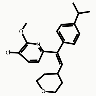 COc1nc(/C(=C\C2CCOCC2)c2ccc(C(C)C)cc2)ccc1Cl